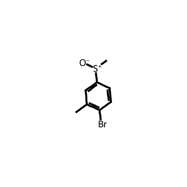 Cc1cc([S+](C)[O-])ccc1Br